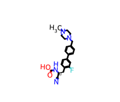 CN1CCN(Cc2ccc(-c3ccc(C[C@@H](C#N)NC(=O)O)c(F)c3)cc2)CC1